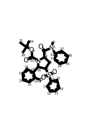 CN(C(=O)C1CC(S(=O)(=O)c2ccccc2)C(c2ccccc2F)N1C(=O)OC(C)(C)C)c1ccccc1